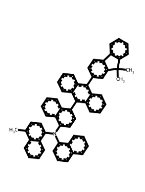 Cc1ccc(N(c2cccc3ccccc23)c2ccc(-c3c4ccccc4c(-c4ccc5c(c4)C(C)(C)c4ccccc4-5)c4ccccc34)c3ccccc23)c2ccccc12